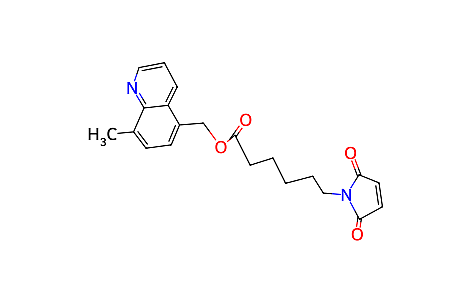 Cc1ccc(COC(=O)CCCCCN2C(=O)C=CC2=O)c2cccnc12